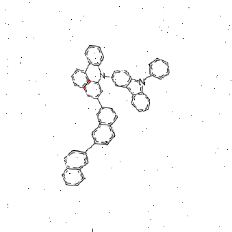 c1ccc(-c2ccccc2N(c2cccc(-c3ccc4ccc(-c5ccc6ccccc6c5)cc4c3)c2)c2ccc3c(c2)c2ccccc2n3-c2ccccc2)cc1